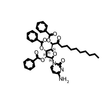 CCCCCCCCCC(=O)C(OC(=O)c1ccccc1)[C@H]1O[C@@H](n2ccc(N)nc2=O)[C@H](OC(=O)c2ccccc2)[C@@H]1OC(=O)c1ccccc1